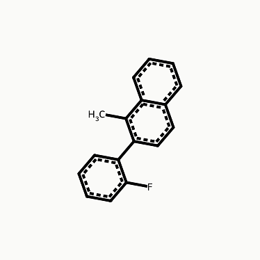 Cc1c(-c2ccccc2F)ccc2ccccc12